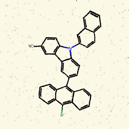 N#Cc1ccc2c(c1)c1cc(-c3c4ccccc4c(Br)c4ccccc34)ccc1n2-c1ccc2ccccc2c1